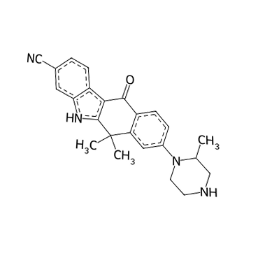 CC1CNCCN1c1ccc2c(c1)C(C)(C)c1[nH]c3cc(C#N)ccc3c1C2=O